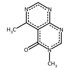 Cc1ncnc2ncn(C)c(=O)c12